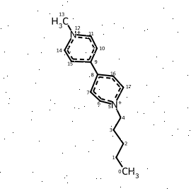 CCCCC[n+]1ccc(-c2cc[n+](C)cc2)cc1